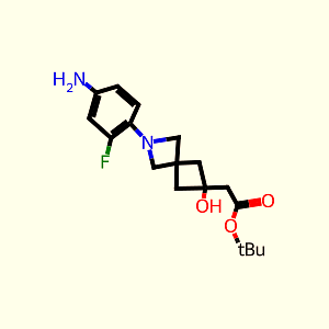 CC(C)(C)OC(=O)CC1(O)CC2(CN(c3ccc(N)cc3F)C2)C1